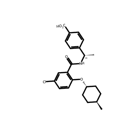 C[C@H](NC(=O)c1cc(Cl)ccc1O[C@H]1CC[C@H](C)CC1)c1ccc(C(=O)O)cc1